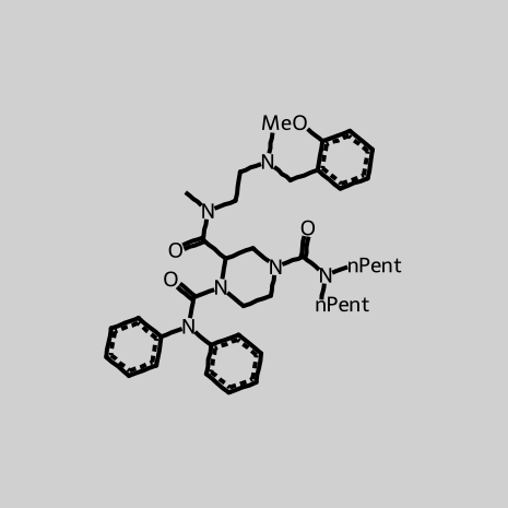 CCCCCN(CCCCC)C(=O)N1CCN(C(=O)N(c2ccccc2)c2ccccc2)C(C(=O)N(C)CCN(C)Cc2ccccc2OC)C1